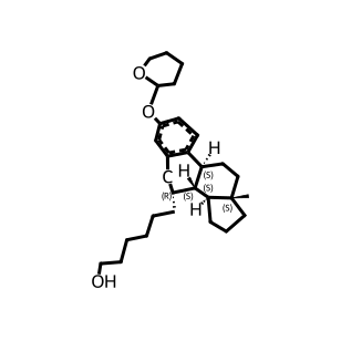 C[C@@]12CCC[C@H]1[C@@H]1[C@H](CCCCCCO)Cc3cc(OC4CCCCO4)ccc3[C@H]1CC2